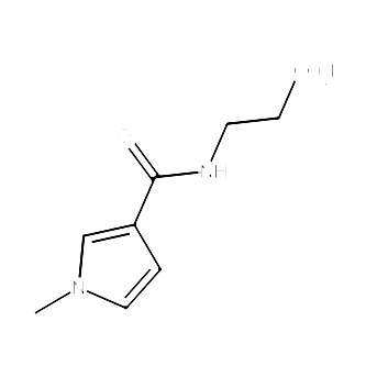 Cn1ccc(C(=O)NCCC(=O)O)c1